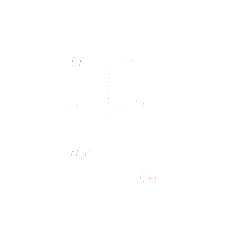 CCC(=O)C(Cl)(Cl)C(C)CO